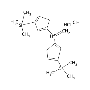 Cl.Cl.[CH2]=[Hf]([C]1=CC([Si](C)(C)C)=CC1)[C]1=CC([Si](C)(C)C)=CC1